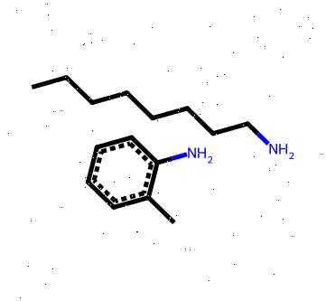 CCCCCCCCN.Cc1ccccc1N